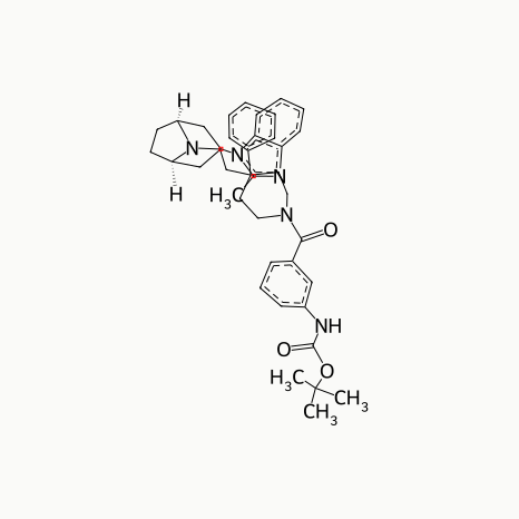 Cc1nc2ccccc2n1C1C[C@H]2CC[C@@H](C1)N2CCC1(c2ccccc2)CCN(C(=O)c2cccc(NC(=O)OC(C)(C)C)c2)CC1